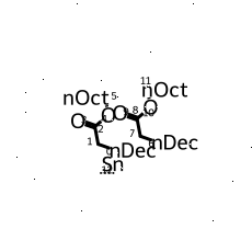 CCCCCCCCCCCC(=O)OCCCCCCCC.CCCCCCCCCCCC(=O)OCCCCCCCC.[Sn]